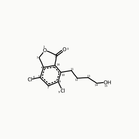 O=C1OCc2c(Cl)cc(Cl)c(CCCCO)c21